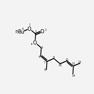 CCCCOC(=O)OCC=C(C)CCC=C(C)C